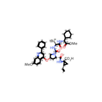 C=C[C@@H]1C[C@]1(NC(=O)[C@@H]1C[C@@H](Oc2cc(-c3ccccc3)nc3cc(OC)ccc23)CN1C(=O)N[C@H](C(=O)N[C@H](C(=O)OC)C1CCCCC1)C(C)(C)C)C(=O)O